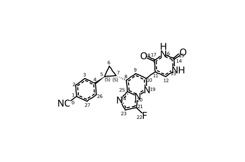 N#Cc1ccc([C@H]2C[C@@H]2c2cc(-c3c[nH]c(=O)[nH]c3=O)nn3c(F)cnc23)cc1